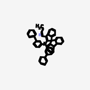 C=C/C=C\C1=C(N(c2cccc(-c3ccccc3)c2)c2cccc(-c3ccccc3)c2)C2(c3ccccc31)c1ccccc1-c1ccccc12